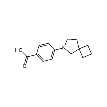 O=C(O)c1ccc(N2CCC3(CCC3)C2)cc1